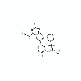 Cc1nc(NC2CC2)c2cc(-c3ccc(F)c(CN(C4CC4)S(=O)(=O)c4ccccc4)c3)ccc2n1